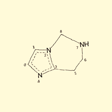 c1cn2c(n1)CCNC2